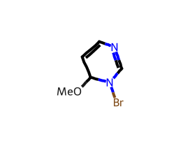 COC1C=CN=CN1Br